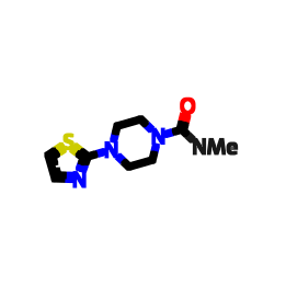 CNC(=O)N1CCN(c2nccs2)CC1